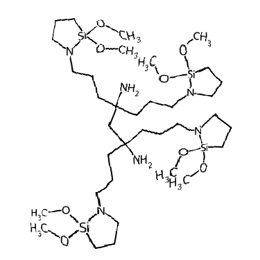 CO[Si]1(OC)CCCN1CCCC(N)(CCCN1CCC[Si]1(OC)OC)CC(N)(CCCN1CCC[Si]1(OC)OC)CCCN1CCC[Si]1(OC)OC